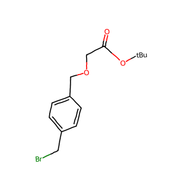 CC(C)(C)OC(=O)COCc1ccc(CBr)cc1